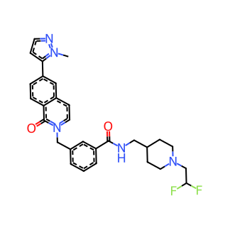 Cn1nccc1-c1ccc2c(=O)n(Cc3cccc(C(=O)NCC4CCN(CC(F)F)CC4)c3)ccc2c1